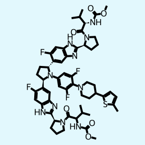 COC(=O)NC(C(=O)N1CCC[C@H]1c1nc2cc([C@H]3CC[C@H](c4cc5nc([C@@H]6CCCN6C(=O)[C@@H](NC(=O)OC)C(C)C)[nH]c5cc4F)N3c3cc(F)c(N4CCC(c5ccc(C)s5)CC4)c(F)c3)c(F)cc2[nH]1)C(C)C